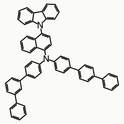 c1ccc(-c2ccc(-c3ccc(N(c4ccc(-c5cccc(-c6ccccc6)c5)cc4)c4ccc(-n5c6ccccc6c6ccccc65)c5ccccc45)cc3)cc2)cc1